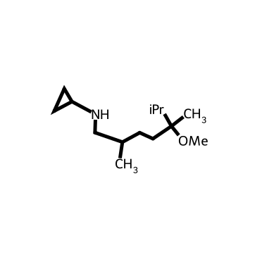 COC(C)(CCC(C)CNC1CC1)C(C)C